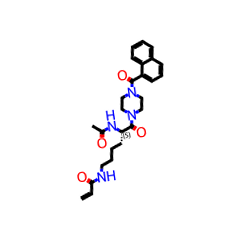 C=CC(=O)NCCCC[C@H](NC(C)=O)C(=O)N1CCN(C(=O)c2cccc3ccccc23)CC1